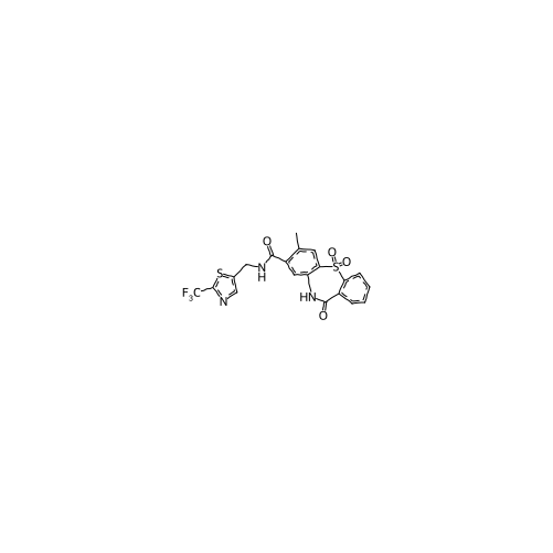 Cc1cc2c(cc1C(=O)NCc1cnc(C(F)(F)F)s1)NC(=O)c1ccccc1S2(=O)=O